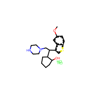 COc1ccc2scc(C(CN3CCNCC3)C3CCCCC3O)c2c1.Cl.Cl